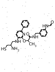 CC(Oc1nc(-c2ccccc2)ccc1NCC(N)CS)C(=O)NCc1cccc(NC=O)c1